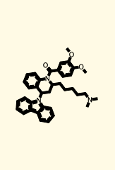 COc1ccc(C(=O)N2c3ccccc3C(n3c4ccccc4c4ccccc43)CC2CCCCCN(C)C)cc1OC